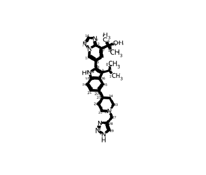 CC(C)c1c(-c2cc(C(C)(C)O)c3ncnn3c2)[nH]c2ccc(C3CCN(Cc4c[nH]nn4)CC3)cc12